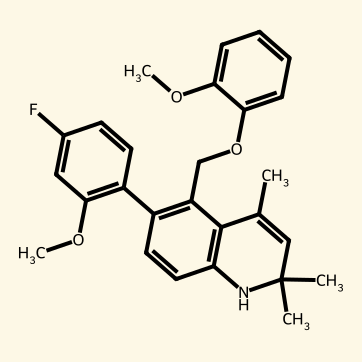 COc1ccccc1OCc1c(-c2ccc(F)cc2OC)ccc2c1C(C)=CC(C)(C)N2